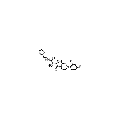 O=C(NCCc1cccs1)[C@H](O)[C@@H](O)C(=O)N1CCN(c2ccc(F)cc2F)CC1